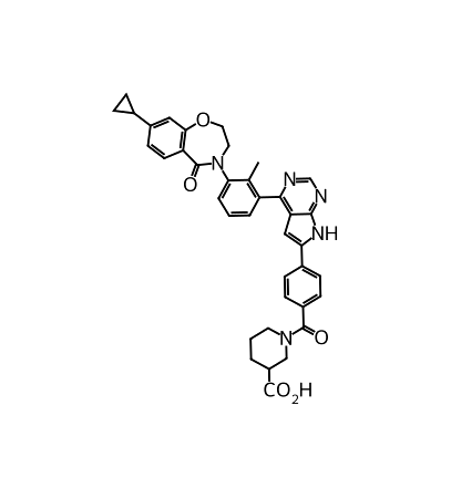 Cc1c(-c2ncnc3[nH]c(-c4ccc(C(=O)N5CCCC(C(=O)O)C5)cc4)cc23)cccc1N1CCOc2cc(C3CC3)ccc2C1=O